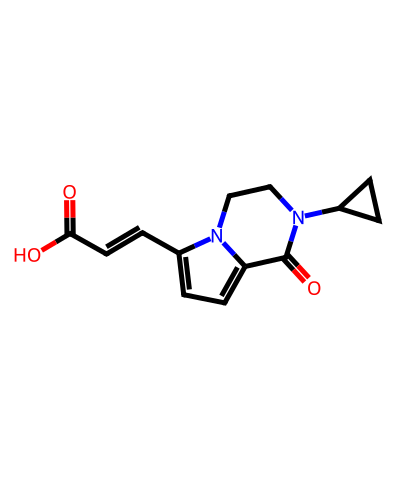 O=C(O)C=Cc1ccc2n1CCN(C1CC1)C2=O